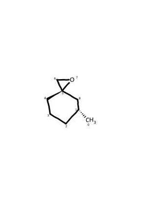 C[C@@H]1CCC[C@]2(CO2)C1